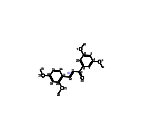 COc1cc(OC)cc(C(=O)/C=C/c2ccc(OC)cc2OC)c1